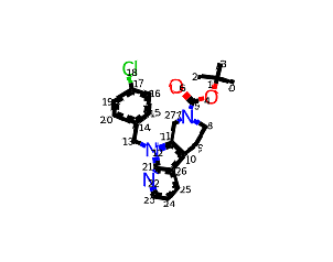 CC(C)(C)OC(=O)N1CCc2c(n(Cc3ccc(Cl)cc3)c3ncccc23)C1